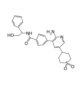 Nc1ncc(C2CCS(=O)(=O)CC2)cc1-c1ccc(C(=O)NC(CO)c2ccccc2)cc1